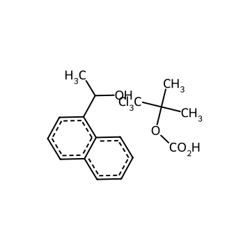 CC(C)(OC(=O)O)C(Cl)(Cl)Cl.CC(O)c1cccc2ccccc12